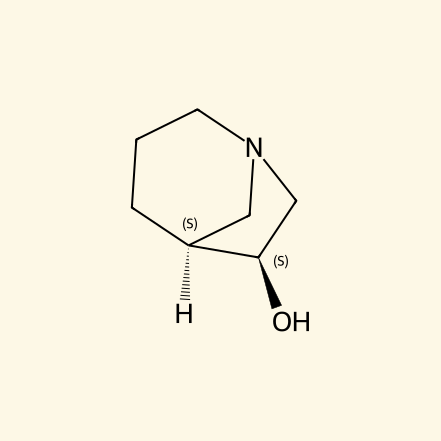 O[C@@H]1CN2CCC[C@H]1C2